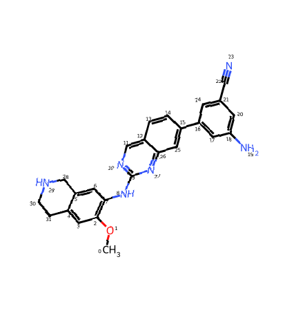 COc1cc2c(cc1Nc1ncc3ccc(-c4cc(N)cc(C#N)c4)cc3n1)CNCC2